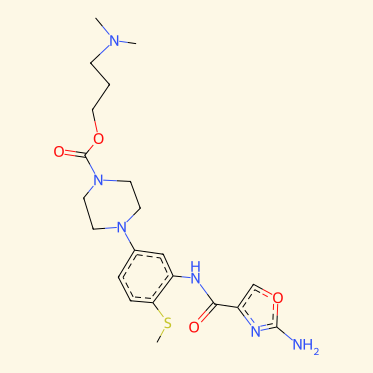 CSc1ccc(N2CCN(C(=O)OCCCN(C)C)CC2)cc1NC(=O)c1coc(N)n1